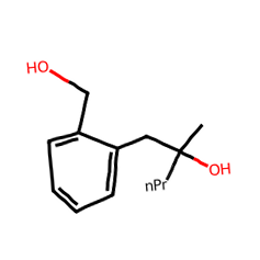 CCCC(C)(O)Cc1ccccc1CO